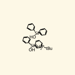 CC(C)(C)P.O[SiH](c1ccccc1)c1ccccc1.O[SiH](c1ccccc1)c1ccccc1